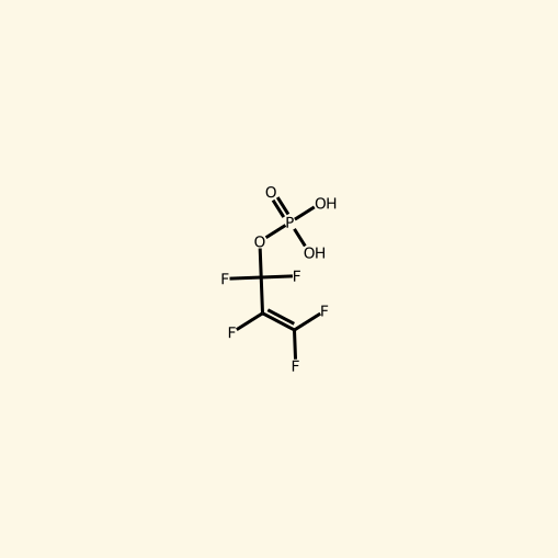 O=P(O)(O)OC(F)(F)C(F)=C(F)F